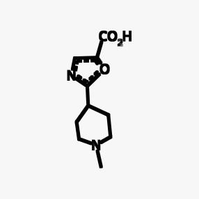 CN1CCC(c2ncc(C(=O)O)o2)CC1